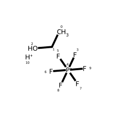 CCO.F[P-](F)(F)(F)(F)F.[H+]